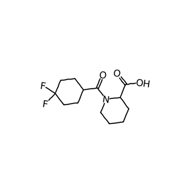 O=C(O)C1CCCCN1C(=O)C1CCC(F)(F)CC1